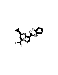 O=C(Nc1ccccc1F)c1cnn2c1NC(=C1C=C1)C=C2C(F)F